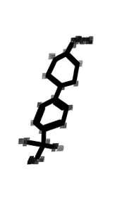 CCCCCC1CCC(c2ccc(C(F)(F)C(C)=O)cc2)CC1